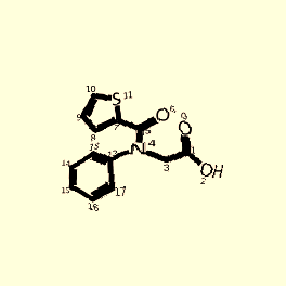 O=C(O)CN(C(=O)c1cccs1)c1ccccc1